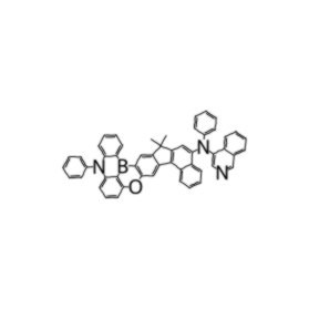 CC1(C)c2cc3c(cc2-c2c1cc(N(c1ccccc1)c1cncc4ccccc14)c1ccccc21)Oc1cccc2c1B3c1ccccc1N2c1ccccc1